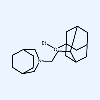 CCOC12CC3CC(C1)C(CCN1CC4CCC(CC4)C1)C(C3)C2